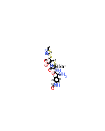 Cc1nnc(SCC2=C(C(=O)[O-])N3C(=O)C(NC(=O)C(N)c4ccc(NC=O)cc4)[C@@H]3SC2)s1.[Na+]